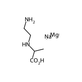 CC(NCCN)C(=O)O.[Mg].[Na]